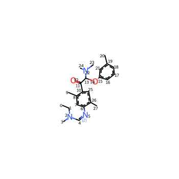 CCN(C)/C=N\c1cc(C)c(C(=O)C(Oc2cccc(C)c2)N(C)C)cc1C